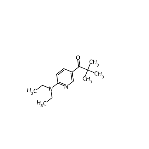 CCN(CC)c1ccc(C(=O)C(C)(C)C)cn1